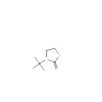 C[C@H]1CN(C(C)(C)C)C(=O)N1